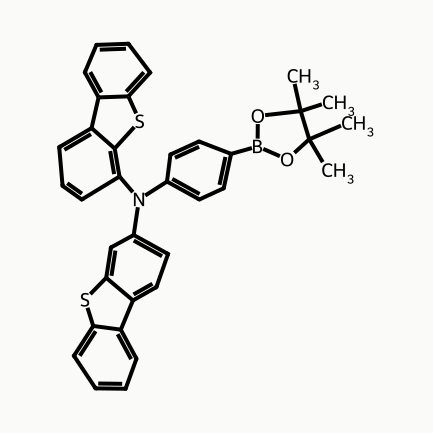 CC1(C)OB(c2ccc(N(c3ccc4c(c3)sc3ccccc34)c3cccc4c3sc3ccccc34)cc2)OC1(C)C